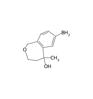 Bc1ccc2c(c1)C(C)(O)CCOC2